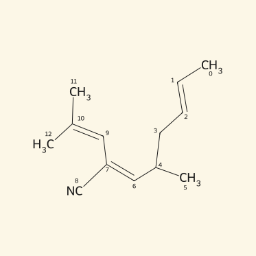 CC=CCC(C)C=C(C#N)C=C(C)C